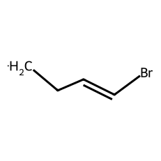 [CH2]C/C=C/Br